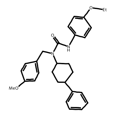 CCOc1ccc(NC(=O)N(Cc2ccc(OC)cc2)C2CCC(c3ccccc3)CC2)cc1